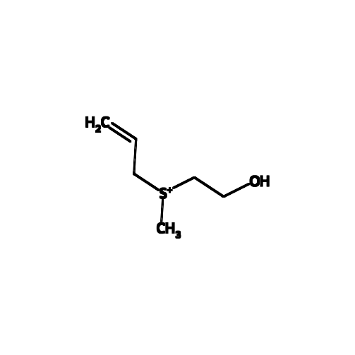 C=CC[S+](C)CCO